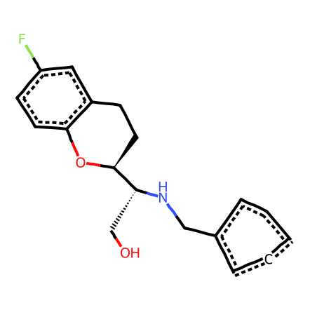 OC[C@@H](NCc1ccccc1)[C@@H]1CCc2cc(F)ccc2O1